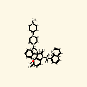 CCOc1ccccc1C1(OC(=O)N2CCN(C3CCN(C)CC3)CC2)C(=O)N(S(=O)(=O)c2cccc3cccnc23)c2ccc(Cl)cc21